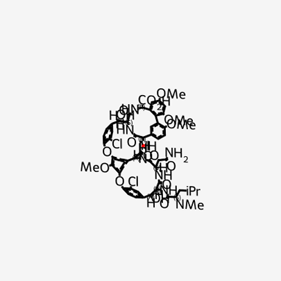 CN[C@@H](CC(C)C)C(=O)N[C@H]1C(=O)N[C@@H](CC(N)=O)C(=O)N[C@H]2C(=O)N[C@H]3C(=O)N[C@H](C(=O)N[C@@H](C(=O)O)c4cc(OC)cc(OC)c4-c4cc3ccc4OC)[C@H](O)c3ccc(c(Cl)c3)Oc3cc2cc(c3OC)Oc2ccc(cc2Cl)[C@H]1O